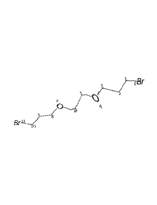 BrCCCOCCOCCCBr